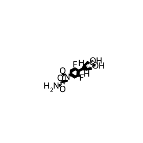 NC(=O)[C@H]1CN(c2cc(F)c(C3[C@H]4CS(O)(O)C[C@@H]34)c(F)c2)C(=O)O1